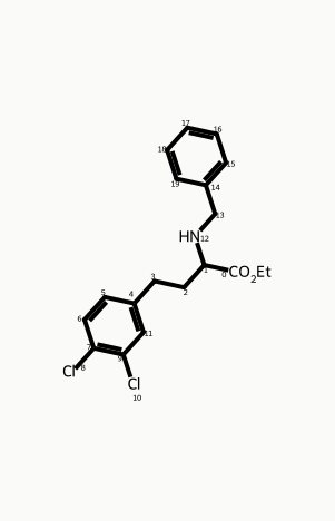 CCOC(=O)C(CCc1ccc(Cl)c(Cl)c1)NCc1ccccc1